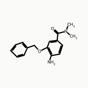 CN(C)C(=O)c1ccc(N)c(OCc2ccccc2)c1